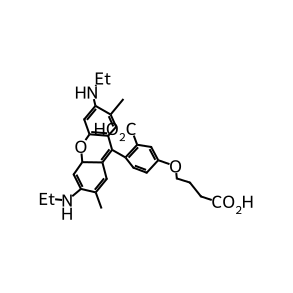 CCNC1=CC2Oc3cc(NCC)c(C)cc3C(c3ccc(OCCCC(=O)O)cc3C(=O)O)=C2C=C1C